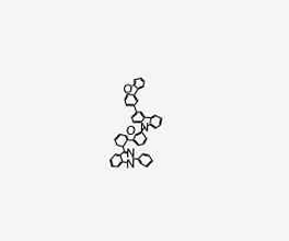 C1=Cc2oc3c(-n4c5ccccc5c5cc(-c6ccc7oc8ccccc8c7c6)ccc54)cccc3c2C(c2nc(-c3ccccc3)nc3ccccc23)C1